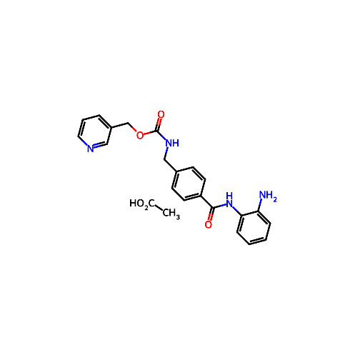 CC(=O)O.Nc1ccccc1NC(=O)c1ccc(CNC(=O)OCc2cccnc2)cc1